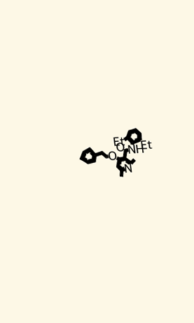 CCc1cccc(CC)c1NC(=O)c1c(OCCc2ccccc2)cc(C)nc1C